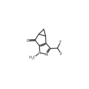 Cn1nc(C(F)F)c2c1C(=O)C1CC21